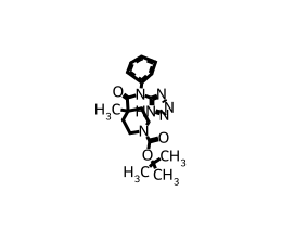 CC(C)(C)OC(=O)N1CCC(C)(C(=O)N(c2ccccc2)c2nnn[nH]2)CC1